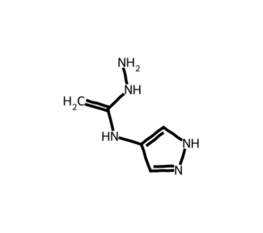 C=C(NN)Nc1cn[nH]c1